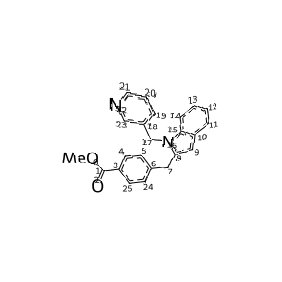 COC(=O)c1ccc(Cc2cc3ccccc3n2Cc2cccnc2)cc1